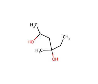 CCC(C)(O)CC(C)O